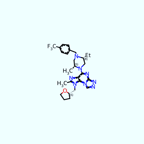 CC[C@@H]1CN(c2nc3nncn3c3c2nc(C)n3C[C@@H]2CCCO2)[C@@H](C)CN1Cc1ccc(C(F)(F)F)cc1